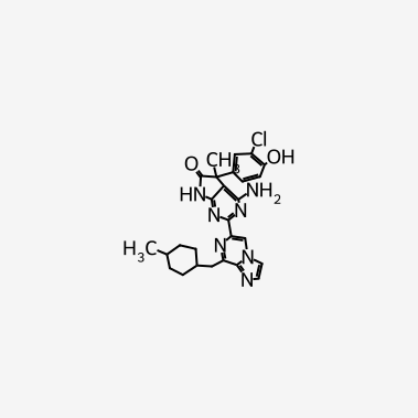 CC1CCC(Cc2nc(-c3nc(N)c4c(n3)NC(=O)C4(C)c3ccc(O)c(Cl)c3)cn3ccnc23)CC1